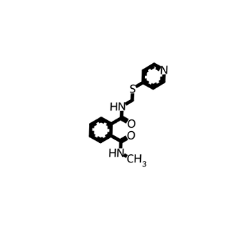 CNC(=O)c1ccccc1C(=O)NCSc1ccncc1